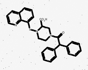 O=C(O)C1CN(C(=O)C(c2ccccc2)c2ccccc2)CCN1Sc1cccc2cccnc12